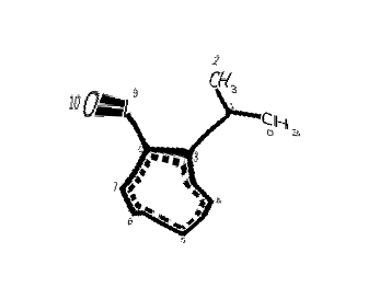 CC(C)c1ccc[c]c1I=O